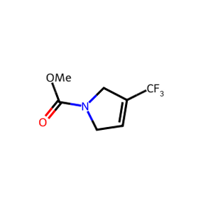 COC(=O)N1CC=C(C(F)(F)F)C1